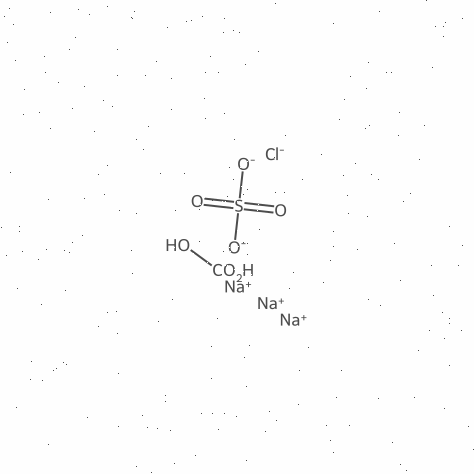 O=C(O)O.O=S(=O)([O-])[O-].[Cl-].[Na+].[Na+].[Na+]